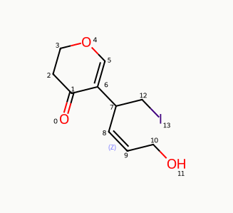 O=C1CCOC=C1C(/C=C\CO)CI